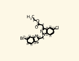 CCOC(=O)Cc1nn(Cc2nc3cc(Br)ccc3s2)c2ccc(Cl)cc12